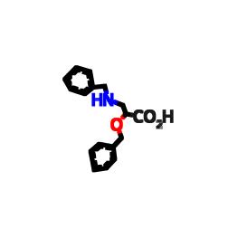 O=C(O)C(CNCc1ccccc1)OCc1ccccc1